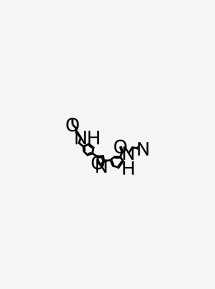 COCCNCc1ccc(-c2cc(-c3cccc(C(=O)NCC#N)c3)no2)cc1